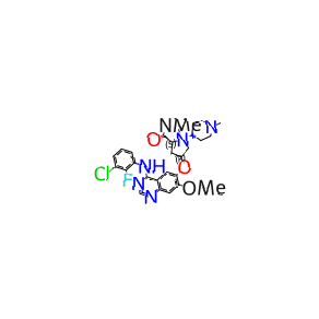 CNC(=O)[C@@H]1C[C@@H](Oc2cc3c(Nc4cccc(Cl)c4F)ncnc3cc2OC)C[N+]1(C)C1CCN(C)CC1